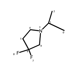 CC(C)N1CCC(F)(F)C1